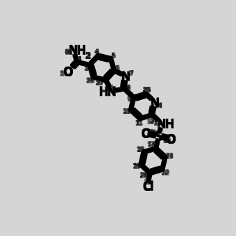 NC(=O)c1ccc2nc(-c3ccc(NS(=O)(=O)c4ccc(Cl)cc4)nc3)[nH]c2c1